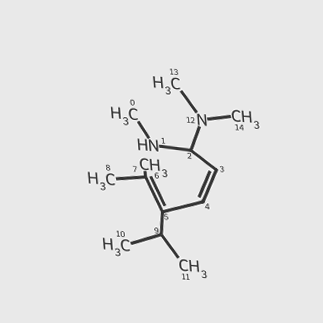 CNC(/C=C\C(=C(C)C)C(C)C)N(C)C